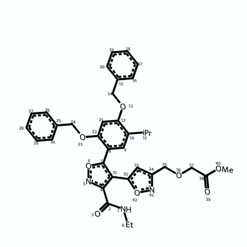 CCNC(=O)c1noc(-c2cc(C(C)C)c(OCc3ccccc3)cc2OCc2ccccc2)c1-c1cc(COCC(=O)OC)no1